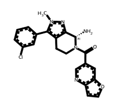 Cn1nc2c(c1-c1cccc(Cl)c1)CCN(C(=O)c1cnc3ccoc3c1)[C@H]2N